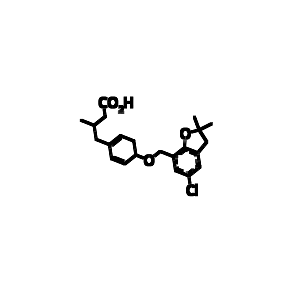 CC(CC(=O)O)CC1=CCC(OCc2cc(Cl)cc3c2OC(C)(C)C3)C=C1